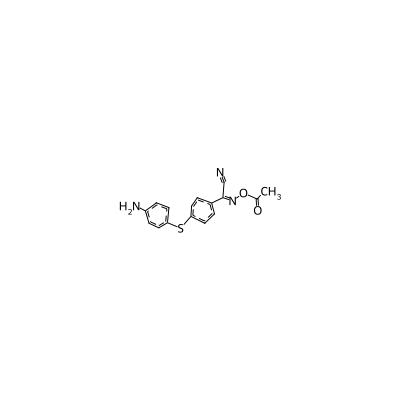 CC(=O)O/N=C(\C#N)c1ccc(Sc2ccc(N)cc2)cc1